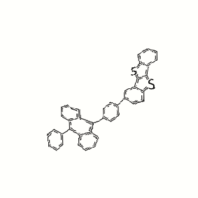 c1ccc(-c2c3ccccc3c(-c3ccc(-c4ccc5sc6c7ccccc7sc6c5c4)cc3)c3ccccc23)cc1